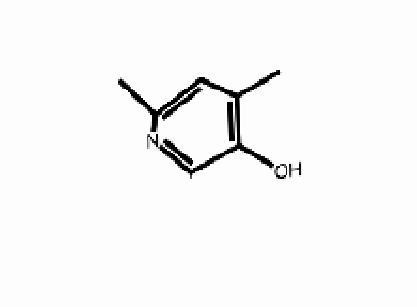 Cc1cc(C)c(O)[c]n1